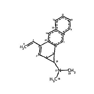 C=CC1=NC2C(c3cc4ccccc4cc31)C2N(C)C